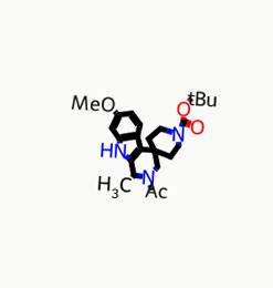 COc1ccc2c3c([nH]c2c1)C(C)N(C(C)=O)CC31CCN(C(=O)OC(C)(C)C)CC1